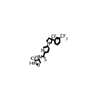 O=C1NOCC1NC(=S)c1ccc(N2CCC(c3cccc(C(F)(F)F)c3)(C(F)(F)F)C2)cn1